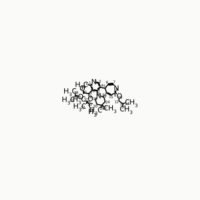 Cc1ncc(C2C#CN=C(OCC(C)C)C=C2)c(N2CCC(C)(C)CC2)c1[C@H](OC(C)(C)C)C(=O)OC(C)C